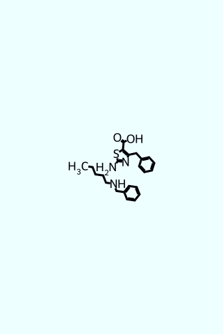 CCCCCNCc1ccccc1.Nc1nc(Cc2ccccc2)c(C(=O)O)s1